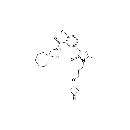 Cc1cn(-c2ccc(Cl)c(C(=O)NCC3(O)CCCCCC3)c2)c(=O)n1CCCOC1CNC1